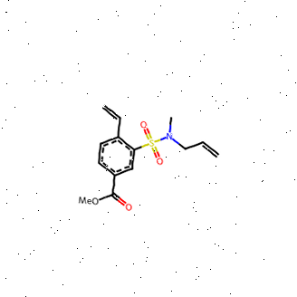 C=CCN(C)S(=O)(=O)c1cc(C(=O)OC)ccc1C=C